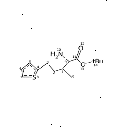 CC(CCc1cccs1)C(N)C(=O)OC(C)(C)C